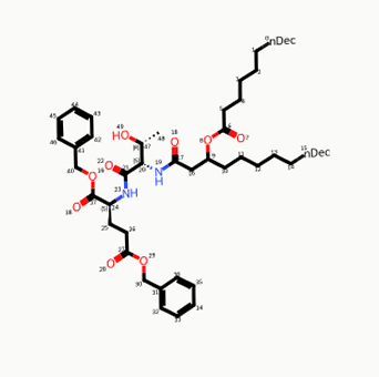 CCCCCCCCCCCCCCCC(=O)OC(CCCCCCCCCCCCCCC)CC(=O)N[C@H](C(=O)N[C@@H](CCC(=O)OCc1ccccc1)C(=O)OCc1ccccc1)[C@@H](C)O